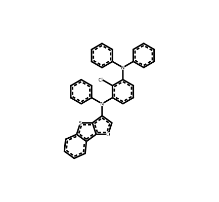 Clc1c(N(c2ccccc2)c2ccccc2)cccc1N(c1ccccc1)c1coc2c1sc1ccccc12